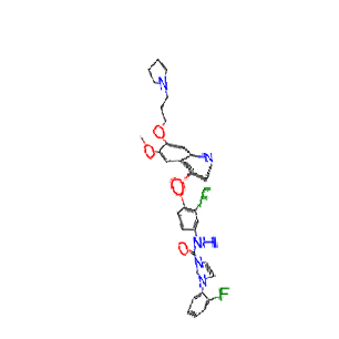 COc1cc2c(Oc3ccc(NC(=O)N4C=CN(c5ccccc5F)C4)cc3F)ccnc2cc1OCCCN1CCCC1